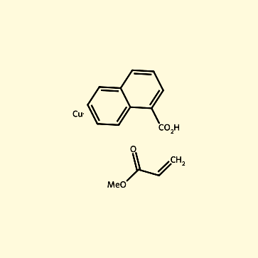 C=CC(=O)OC.O=C(O)c1cccc2ccccc12.[Cu]